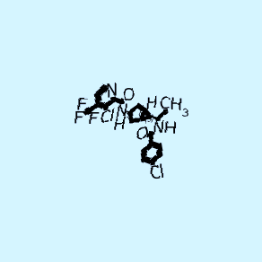 CCC(NC(=O)c1ccc(Cl)cc1)[C@H]1C2C[C@H](NC(=O)c3nccc(C(F)(F)F)c3Cl)C[C@@H]21